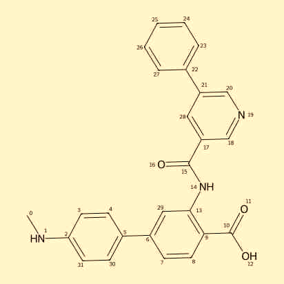 CNc1ccc(-c2ccc(C(=O)O)c(NC(=O)c3cncc(-c4ccccc4)c3)c2)cc1